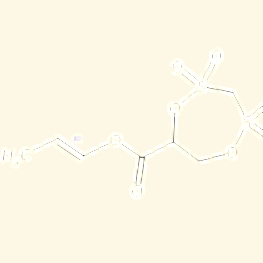 C/C=C/OC(=O)C1COS(=O)(=O)CS(=O)(=O)O1